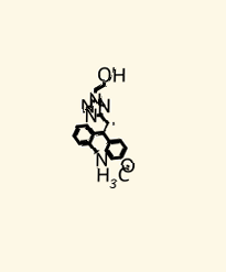 COc1ccc([C@H]([CH]c2nnn(CCO)n2)c2ccccc2C#N)cc1